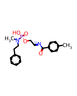 Cc1ccc(C(=O)/N=C/COP(=O)(O)N(C)CCc2ccccc2)cc1